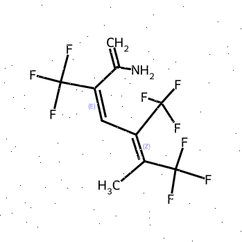 C=C(N)/C(=C\C(=C(/C)C(F)(F)F)C(F)(F)F)C(F)(F)F